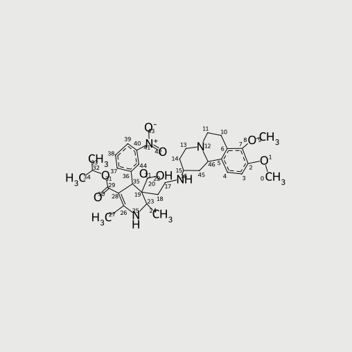 COc1ccc2c(c1OC)CCN1CCC(NCCC3(C(=O)O)C(C)NC(C)=C(C(=O)OC(C)C)C3c3cccc([N+](=O)[O-])c3)CC21